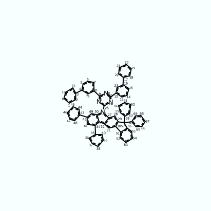 c1ccc(-c2cccc(-c3nc(-c4cccc(-c5ccccc5)c4)nc(-n4c5cc6c(cc5c5c(-c7ccccc7)cc(-c7ccccc7)cc54)-c4ccccc4C6(c4ccccc4)c4ccccc4)n3)c2)cc1